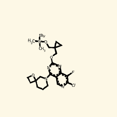 CC(C)(C)[Si](C)(C)OCC1(COc2nc(N3CCCC4(CCO4)C3)c3cnc(Cl)c(F)c3n2)CC1